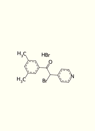 Br.Cc1cc(C)cc(C(=O)C(Br)c2ccncc2)c1